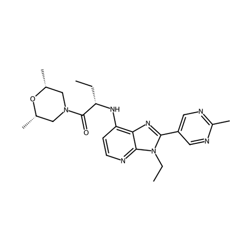 CC[C@H](Nc1ccnc2c1nc(-c1cnc(C)nc1)n2CC)C(=O)N1C[C@@H](C)O[C@@H](C)C1